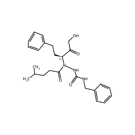 CC(C)CCC(=O)N(NC(=O)NCc1ccccc1)[C@@H](CCc1ccccc1)C(=O)CO